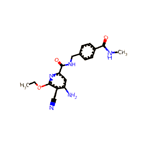 CCOc1nc(C(=O)NCc2ccc(C(=O)NC)cc2)cc(N)c1C#N